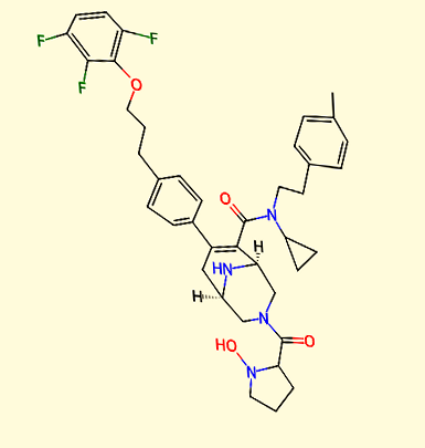 Cc1ccc(CCN(C(=O)C2=C(c3ccc(CCCOc4c(F)ccc(F)c4F)cc3)C[C@@H]3CN(C(=O)C4CCCN4O)C[C@H]2N3)C2CC2)cc1